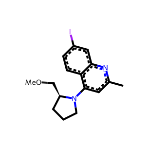 COC[C@@H]1CCCN1c1cc(C)nc2cc(I)ccc12